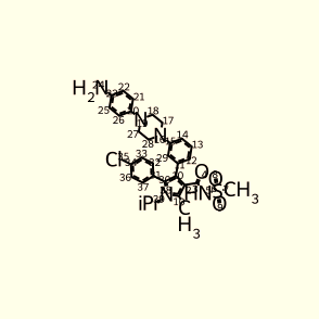 Cc1c(C(=O)NS(C)(=O)=O)c(-c2cccc(N3CCN(c4ccc(N)cc4)CC3)c2)c(-c2ccc(Cl)cc2)n1C(C)C